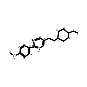 CCC1CCC(CCc2cnc(-c3ccc(OC)cc3)nc2)CC1